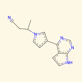 CC(CC#N)n1ccc(-c2ncnc3[nH]ccc23)c1